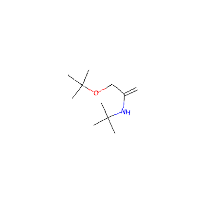 C=C(COC(C)(C)C)NC(C)(C)C